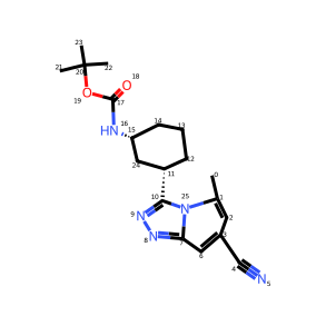 Cc1cc(C#N)cc2nnc([C@H]3CCC[C@@H](NC(=O)OC(C)(C)C)C3)n12